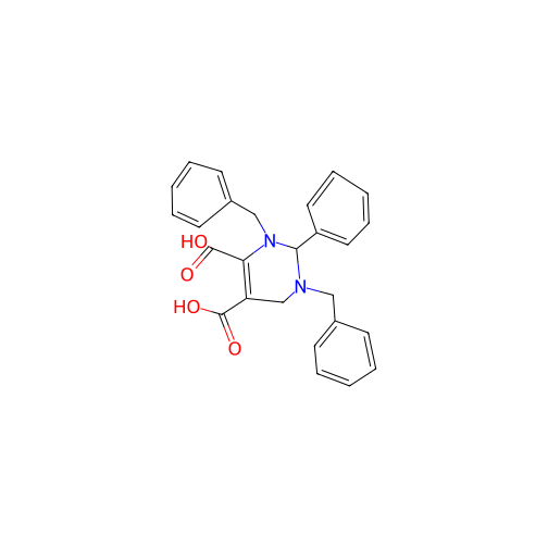 O=C(O)C1=C(C(=O)O)N(Cc2ccccc2)C(c2ccccc2)N(Cc2ccccc2)C1